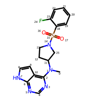 CN(c1ncnc2[nH]ccc12)C1CCN(S(=O)(=O)c2ccccc2F)C1